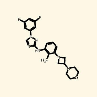 Cc1c(Nc2ncn(-c3cc(F)cc(F)c3)n2)cccc1N1CC(N2CCOCC2)C1